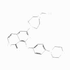 CCN1CCN(c2cc3cc[nH]c(=O)c3c(Nc3ccc(N4CCOCC4)cc3)n2)CC1